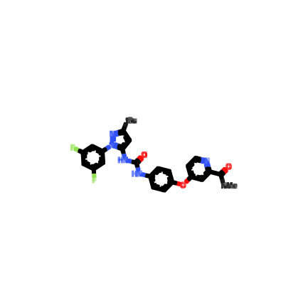 CNC(=O)c1cc(Oc2ccc(NC(=O)Nc3cc(C(C)(C)C)nn3-c3cc(F)cc(F)c3)cc2)ccn1